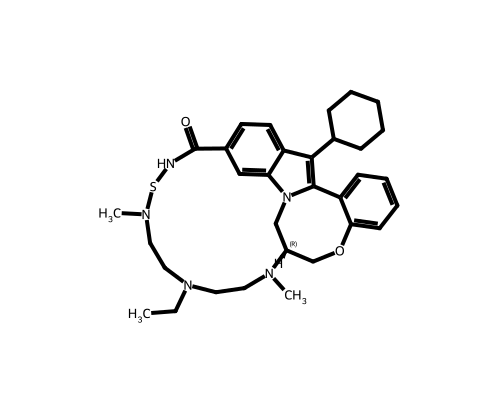 CCN1CCN(C)SNC(=O)c2ccc3c(C4CCCCC4)c4n(c3c2)C[C@H](COc2ccccc2-4)N(C)CC1